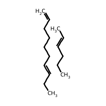 C=CCCCCC=CCC.CC=CCCC